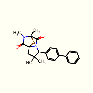 CN1C(=O)[C@@]23C[C@](C)(C#N)[C@H](c4ccc(-c5ccccc5)cc4)N2C(=O)[C@]1(C)S3